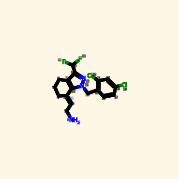 NC/C=C1\CCCc2c(C(F)F)nn(Cc3ccc(Cl)cc3Cl)c21